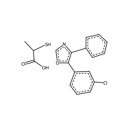 CC(S)C(=O)O.Clc1cccc(-c2ocnc2-c2ccccc2)c1